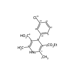 CCOC(=O)C1=C(C)NC(C)=C(C(=O)O)C1c1cccc(Cl)c1